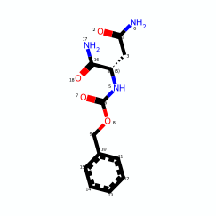 NC(=O)C[C@H](NC(=O)OCc1ccccc1)C(N)=O